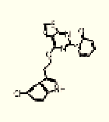 O=c1ccccn1-c1nc(OCCc2c[nH]c3ccc(Cl)cc23)c2ncsc2n1